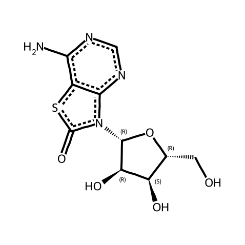 Nc1ncnc2c1sc(=O)n2[C@@H]1O[C@H](CO)[C@@H](O)[C@H]1O